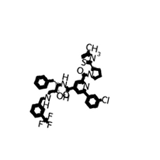 Cc1csc([C@H]2CCCN2C(=O)c2cc(C(=O)N[C@@H](Cc3ccccc3)[C@H](O)CNCc3cccc(C(F)(F)F)c3)cc(-c3cccc(Cl)c3)n2)n1